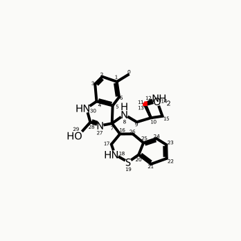 Cc1ccc2c(c1)C(NCC1(CN)COC1)(C1CNSc3ccccc3C1)N=C(O)N2